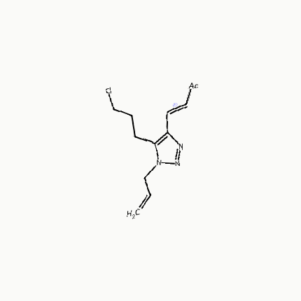 C=CCn1nnc(/C=C/C(C)=O)c1CCCCl